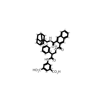 O=C(O)c1cc(NC(=O)C(CNC(=O)c2cc3ccccc3cc2C(=O)NCC23CC4CC(CC(C4)C2)C3)c2ccccc2)cc(C(=O)O)c1